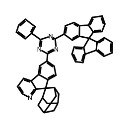 c1ccc(-c2nc(-c3ccc4c(c3)-c3cccnc3C43C4CC5CC(C4)CC3C5)nc(-c3ccc4c(c3)C3(c5ccccc5-c5ccccc53)c3ccccc3-4)n2)cc1